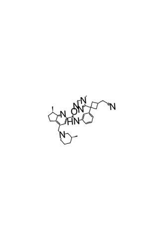 C[C@H]1CCCN(Cc2cc(C(=O)Nc3cccc(C4(c5nncn5C)CC(CC#N)C4)c3)nc3c2CC[C@H]3C)C1